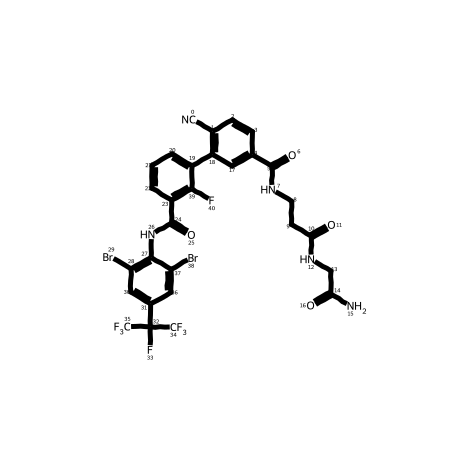 N#Cc1ccc(C(=O)NCCC(=O)NCC(N)=O)cc1-c1cccc(C(=O)Nc2c(Br)cc(C(F)(C(F)(F)F)C(F)(F)F)cc2Br)c1F